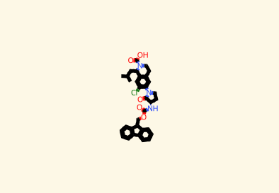 CC(C)CC1c2cc(Cl)c(N3CC[C@H](NC(=O)OCC4c5ccccc5-c5ccccc54)C3=O)cc2CCN1C(=O)O